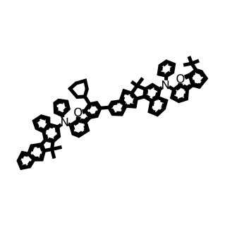 CC(C)(C)c1cccc2c1oc1c(N(c3ccccc3)c3cc4c(c5ccccc35)-c3cc5ccc(-c6cc(C7CCCCC7)c7oc8c(N(c9ccccc9)c9cc%10c(c%11ccccc9%11)-c9cc%11ccccc%11cc9C%10(C)C)cccc8c7c6)cc5cc3C4(C)C)cccc12